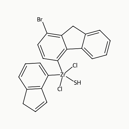 [SH][Zr]([Cl])([Cl])([c]1cccc2c1C=CC2)[c]1ccc(Br)c2c1-c1ccccc1C2